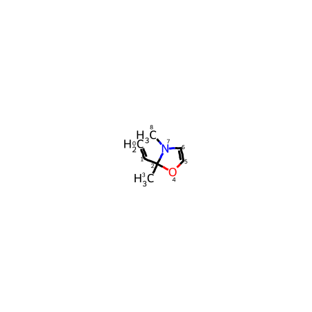 C=CC1(C)OC=CN1C